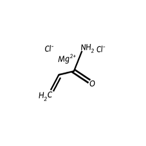 C=CC(N)=O.[Cl-].[Cl-].[Mg+2]